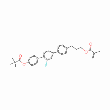 C=C(C)C(=O)OCCCc1ccc(-c2ccc(-c3ccc(OC(=O)C(C)(C)C)cc3)c(F)c2)cc1